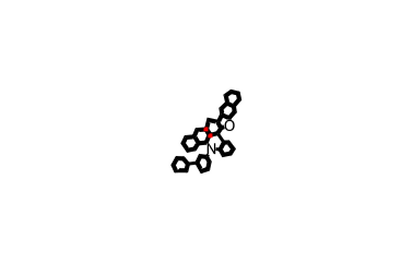 c1ccc(-c2cccc(N(c3ccccc3-c3cccc4c3oc3cc5ccccc5cc34)c3cccc4ccccc34)c2)cc1